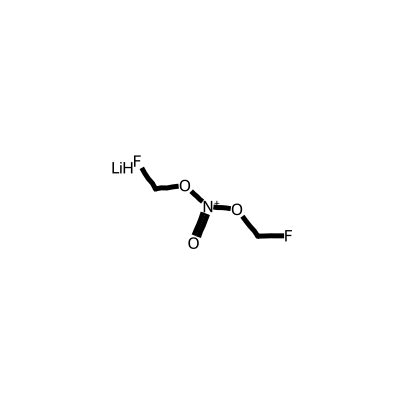 O=[N+](OCF)OCF.[LiH]